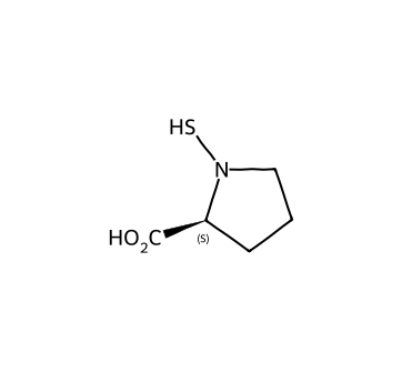 O=C(O)[C@@H]1CCCN1S